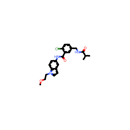 COCCn1ccc2cc(NC(=O)c3cc(CNC(=O)C(C)C)ccc3Cl)ccc21